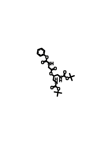 CC(C)(C)OC(=O)NCC(CNC(=O)OC(C)(C)C)OC(=O)CNC(=O)Oc1ccccc1